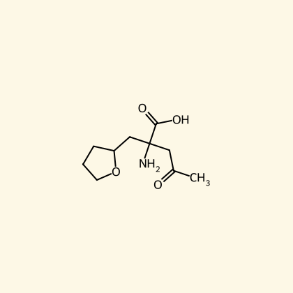 CC(=O)CC(N)(CC1CCCO1)C(=O)O